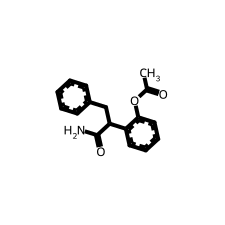 CC(=O)Oc1ccccc1C(Cc1ccccc1)C(N)=O